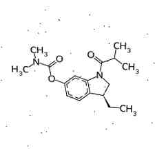 CC[C@@H]1CN(C(=O)C(C)C)c2cc(OC(=O)N(C)C)ccc21